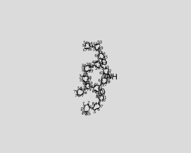 c1ccc(-c2cccc(-c3ccc4oc5c(-c6ccc7[nH]c8ccc(-c9cc(-c%10cccc(-c%11ccccc%11)c%10)cc%10c9oc9ccc(-c%11cccc(-c%12ccccc%12)c%11)cc9%10)cc8c7c6)cc(-c6cccc(-c7ccccc7)c6)cc5c4c3)c2)cc1